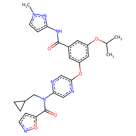 CC(C)Oc1cc(Oc2cnc(N(CC3CC3)C(=O)c3ccno3)cn2)cc(C(=O)Nc2ccn(C)n2)c1